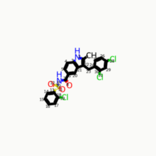 Cc1[nH]c2ccc(C(=O)NS(=O)(=O)c3ccccc3Cl)cc2c1Cc1ccc(Cl)cc1Cl